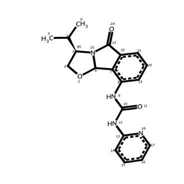 CC(C)[C@@H]1COC2c3c(NC(=O)Nc4ccccn4)cccc3C(=O)N21